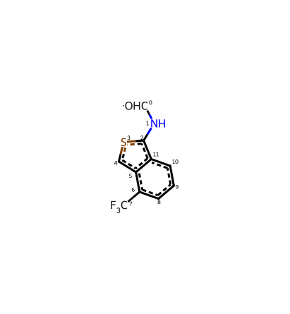 O=[C]Nc1scc2c(C(F)(F)F)cccc12